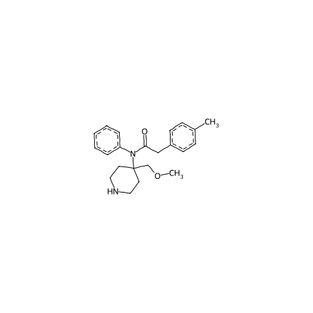 COCC1(N(C(=O)Cc2ccc(C)cc2)c2ccccc2)CCNCC1